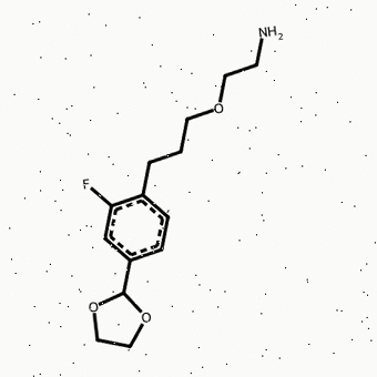 NCCOCCCc1ccc(C2OCCO2)cc1F